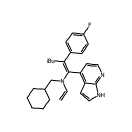 C=CN(CC1CCCCC1)/C(=C(/c1ccc(F)cc1)C(C)CC)c1ccnc2[nH]ccc12